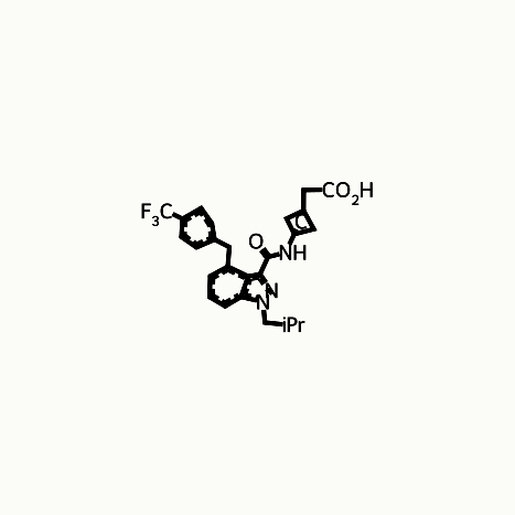 CC(C)Cn1nc(C(=O)NC23CC(CC(=O)O)(C2)C3)c2c(Cc3ccc(C(F)(F)F)cc3)cccc21